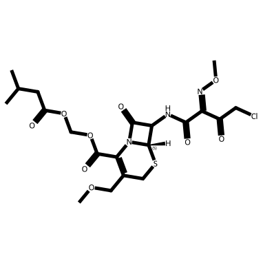 COCC1=C(C(=O)OCOC(=O)CC(C)C)N2C(=O)C(NC(=O)C(=NOC)C(=O)CCl)[C@@H]2SC1